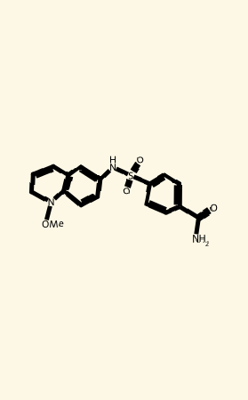 CON1CC=Cc2cc(NS(=O)(=O)c3ccc(C(N)=O)cc3)ccc21